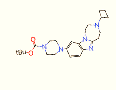 CC(C)(C)OC(=O)N1CCN(c2ccc3nc4n(c3c2)CCN(C2CCC2)CC4)CC1